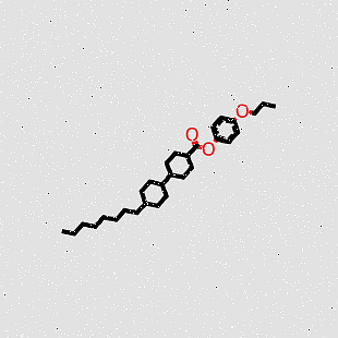 CCCCCCCCC1CCC(C2CCC(C(=O)Oc3ccc(OCCC)cc3)CC2)CC1